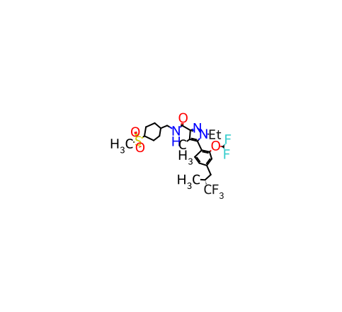 CCn1nc(C(=O)NCC2CCC(S(C)(=O)=O)CC2)c(C)c1-c1ccc(C[C@@H](C)C(F)(F)F)cc1OC(F)F